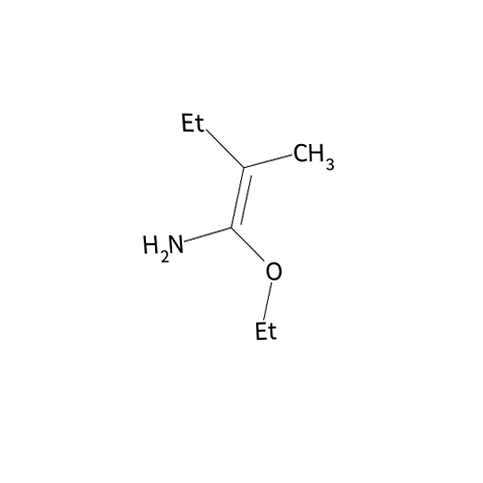 CCO/C(N)=C(\C)CC